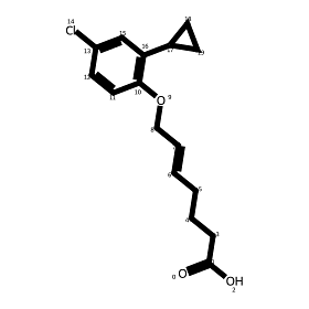 O=C(O)CCC/C=C/COc1ccc(Cl)cc1C1CC1